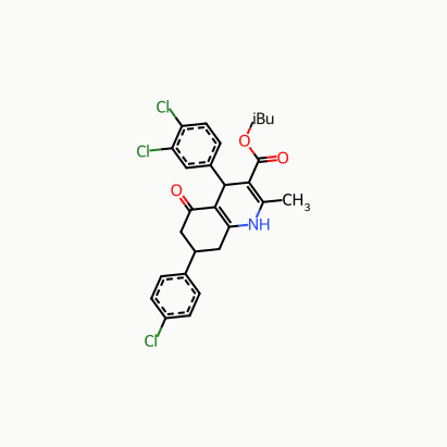 CCC(C)OC(=O)C1=C(C)NC2=C(C(=O)CC(c3ccc(Cl)cc3)C2)C1c1ccc(Cl)c(Cl)c1